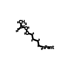 CCCCCCCCCOOB(C)I